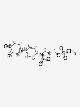 CS(=O)(=O)OC[C@H]1CN(c2ccc(N3CCC(=O)C(F)C3)cc2)C(=O)O1